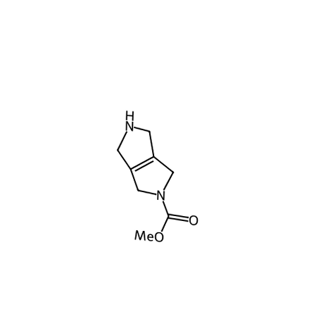 COC(=O)N1CC2=C(CNC2)C1